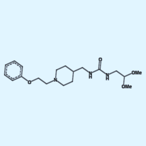 COC(CNC(=O)NCC1CCN(CCOc2ccccc2)CC1)OC